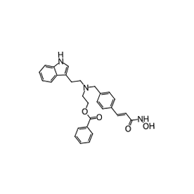 O=C(/C=C/c1ccc(CN(CCOC(=O)c2ccccc2)CCc2c[nH]c3ccccc23)cc1)NO